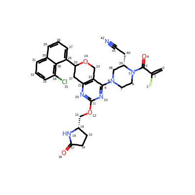 C=C(F)C(=O)N1CCN(c2nc(OC[C@@H]3CCC(=O)N3)nc3c2COC(c2cccc4cccc(Cl)c24)C3)C[C@@H]1CC#N